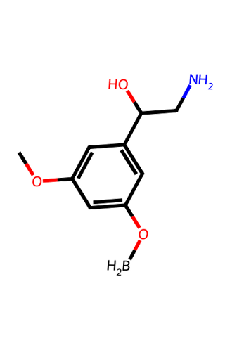 BOc1cc(OC)cc(C(O)CN)c1